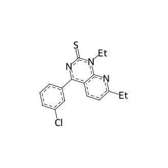 CCc1ccc2c(-c3cccc(Cl)c3)nc(=S)n(CC)c2n1